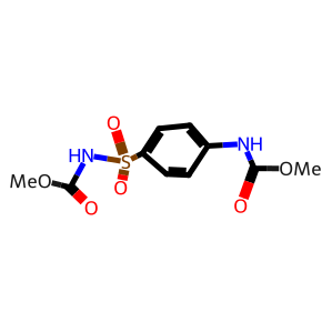 COC(=O)Nc1ccc(S(=O)(=O)NC(=O)OC)cc1